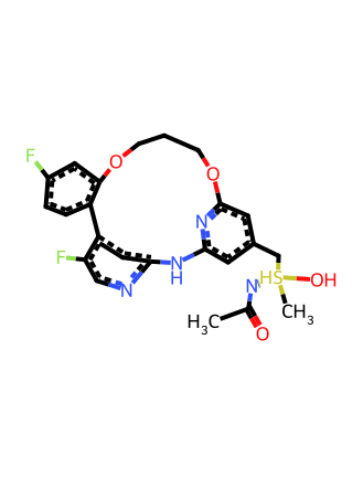 CC(=O)N=[SH](C)(O)Cc1cc2nc(c1)OCCCOc1cc(F)ccc1-c1cc(ncc1F)N2